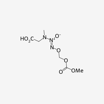 COC(=O)OCO/N=[N+](\[O-])N(C)CC(=O)O